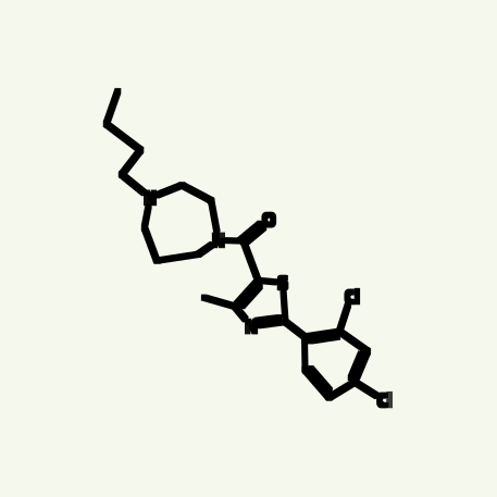 CCCCN1CCCN(C(=O)c2sc(-c3ccc(Cl)cc3Cl)nc2C)CC1